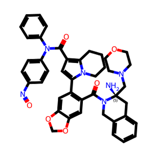 N[C@@]1(CN2CCOCC2)Cc2ccccc2CN1C(=O)c1cc2c(cc1-c1cc(C(=O)N(c3ccccc3)c3ccc(N=O)cc3)c3n1CCCC3)OCO2